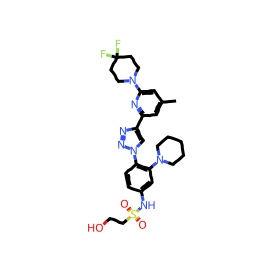 Cc1cc(-c2cn(-c3ccc(NS(=O)(=O)CCO)cc3N3CCCCC3)nn2)nc(N2CCC(F)(F)CC2)c1